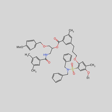 CCOc1cc(S(=O)(=O)N(Cc2ccccc2)Cc2ccccc2)c(OCCCc2cc(C)cc(C(=O)OC(CNC(=O)c3cc(C)cc(C)c3)COCc3ccc(OC)cc3)c2)cc1C